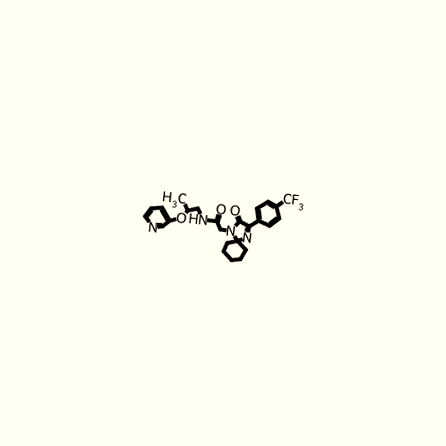 CC(CNC(=O)CN1C(=O)C(c2ccc(C(F)(F)F)cc2)=NC12CCCCC2)Oc1cccnc1